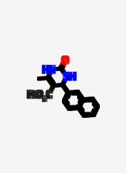 CCOC(=O)C1=C(C)NC(=O)NC1c1ccc2ccccc2c1